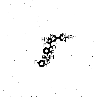 CC(C)c1ncc(-c2cnc3[nH]cc(C(=O)c4c(F)ccc(NS(=O)(=O)c5cc(F)ccc5F)c4F)c3c2)cn1